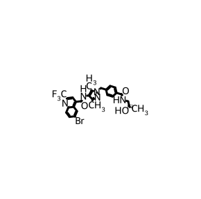 Cc1nn(Cc2ccc(C(=O)NC[C@H](C)O)cc2)c(C)c1NC(=O)c1cc(C(F)(F)F)nc2ccc(Br)cc12